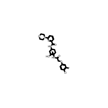 O=C(COc1ccc(Cl)c(F)c1)NC12CCC(NC(=O)c3cccc(N4CCOCC4)n3)(CC1)CC2O